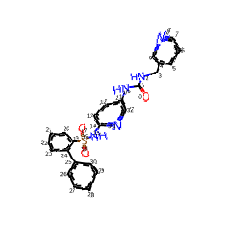 O=C(NCc1cccnc1)Nc1ccc(NS(=O)(=O)c2ccccc2-c2ccccc2)nc1